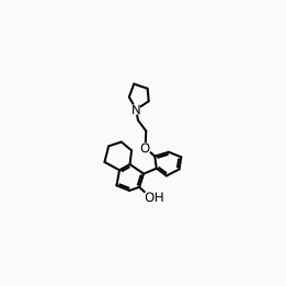 Oc1ccc2c(c1-c1ccccc1OCCN1CCCC1)CCCC2